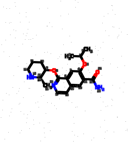 CC(C)Oc1cc2c(OC3CCCN[C@H]3C)nccc2cc1C(N)=O